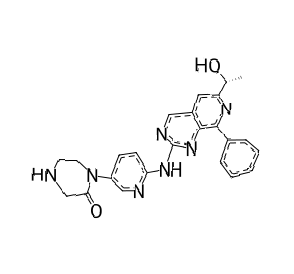 C[C@@H](O)c1cc2cnc(Nc3ccc(N4CCNCC4=O)cn3)nc2c(-c2ccccc2)n1